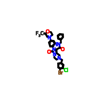 O=C(NCc1ccccc1)c1c2n(c(=O)n1-c1ccc(N3CCO[C@H](C(F)(F)F)C3)cc1)CCN(Cc1ccc(Br)c(Cl)c1)C2